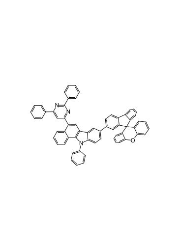 c1ccc(-c2cc(-c3cc4c5cc(-c6ccc7c(c6)C6(c8ccccc8Oc8ccccc86)c6ccccc6-7)ccc5n(-c5ccccc5)c4c4ccccc34)nc(-c3ccccc3)n2)cc1